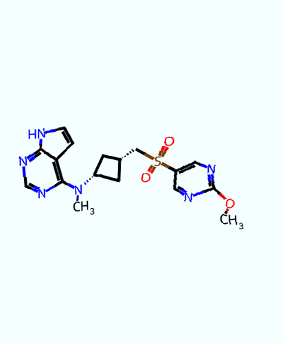 COc1ncc(S(=O)(=O)C[C@H]2C[C@@H](N(C)c3ncnc4[nH]ccc34)C2)cn1